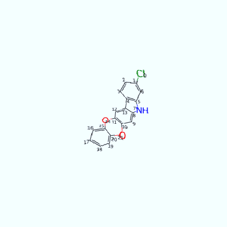 Clc1ccc2c(c1)[nH]c1cc3c(cc12)Oc1ccccc1O3